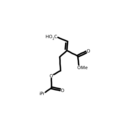 COC(=O)/C(=C/C(=O)O)CCOC(=O)C(C)C